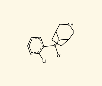 [O-][S+](c1ccccc1Cl)N1C2CCC1CNC2